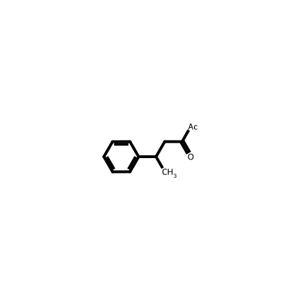 CC(=O)C(=O)CC(C)c1ccccc1